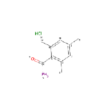 Cc1cc(C)c(C(=O)P)c(C)c1.Cl